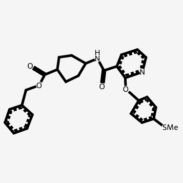 CSc1ccc(Oc2ncccc2C(=O)NC2CCC(C(=O)OCc3ccccc3)CC2)cc1